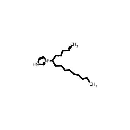 C=CCCCC(CCCCCCCCC)[n+]1cc[nH]c1